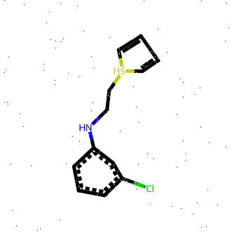 Clc1[c]ccc(NCC[SH]2C=CC=C2)c1